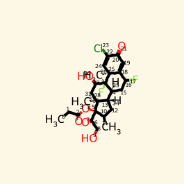 CCC(=O)O[C@]1(C(=O)CO)C(C)C[C@H]2[C@@H]3CC(F)C4=CC(=O)C(Cl)=C[C@]4(C)[C@@]3(F)C(O)C[C@@]21C